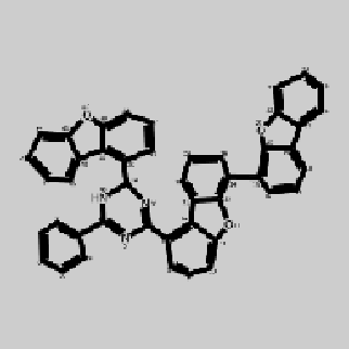 c1ccc(C2=NC(c3cccc4oc5c(-c6cccc7c6oc6ccccc67)cccc5c34)=NC(c3cccc4oc5ccccc5c34)N2)cc1